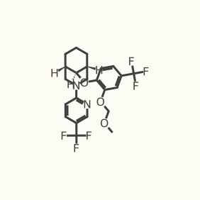 COCOc1cc(C(F)(F)F)ccc1O[C@@H]1[C@@H]2CCC[C@H]1CN(c1ccc(C(F)(F)F)cn1)C2